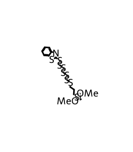 CO[Si](C)(CCCSSSSSSSc1nc2ccccc2s1)OC